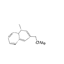 COCC1=CC(C)C2C=CC=CC2=C1